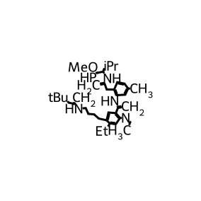 C=C(CC(C)(C)C)NCCCCc1cc(C(=C)Nc2cc(C)ccc2CC(=C)NC(C(=P)OC)C(C)C)c(/N=C\C)cc1CC